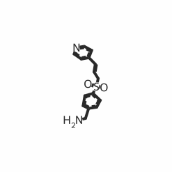 NCc1ccc(S(=O)(=O)CC=Cc2ccncc2)cc1